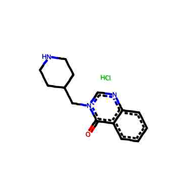 Cl.O=c1c2ccccc2ncn1CC1CCNCC1